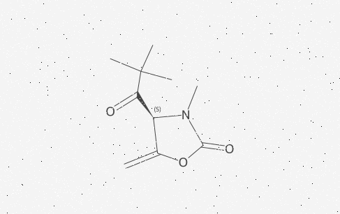 C=C1OC(=O)N(C)[C@@H]1C(=O)C(C)(C)C